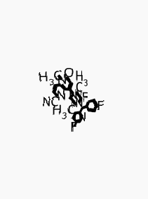 C[C@@H]1CN(c2cc(=O)n(C)c3ccc(C#N)nc23)[C@@H](C)CN1C(c1ccc(F)cn1)c1ccc(F)cc1F